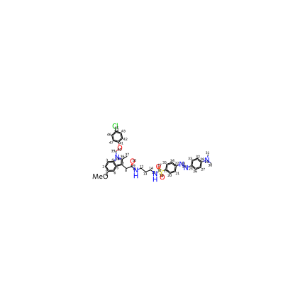 COc1ccc2c(c1)c(CC(=O)NCCCNS(=O)(=O)c1ccc(/N=N/c3ccc(N(C)C)cc3)cc1)c(C)n2COc1ccc(Cl)cc1